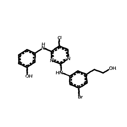 OCCc1cc(Br)cc(Nc2ncc(Cl)c(Nc3cccc(O)c3)n2)c1